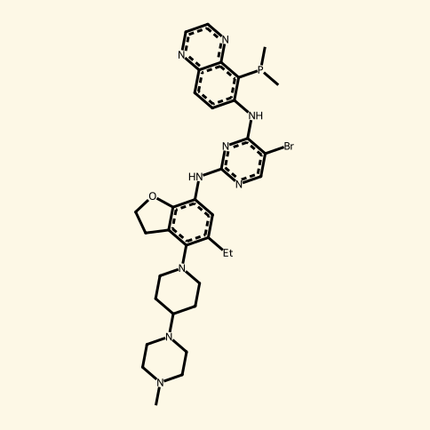 CCc1cc(Nc2ncc(Br)c(Nc3ccc4nccnc4c3P(C)C)n2)c2c(c1N1CCC(N3CCN(C)CC3)CC1)CCO2